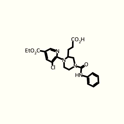 CCOC(=O)c1cnc(N2CCN(C(=O)Nc3ccccc3)CC2CCC(=O)O)c(Cl)c1